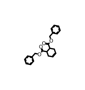 O=C(OCc1ccccc1)C1CC=CCC1C(=O)OCc1ccccc1